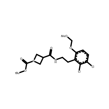 COCOc1ccc(Cl)c(Cl)c1CCNC(=O)C1CN(C(=O)OC(C)(C)C)C1